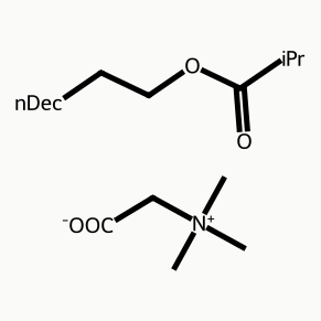 CCCCCCCCCCCCOC(=O)C(C)C.C[N+](C)(C)CC(=O)[O-]